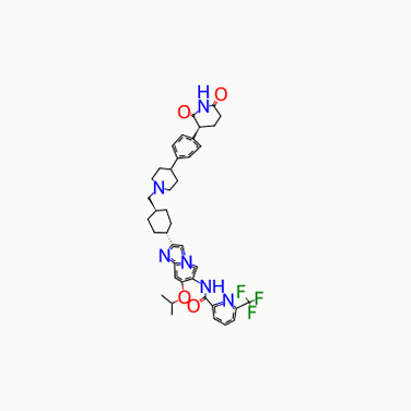 CC(C)Oc1cc2nc([C@H]3CC[C@H](CN4CCC(c5ccc([C@@H]6CCC(=O)NC6=O)cc5)CC4)CC3)cn2cc1NC(=O)c1cccc(C(F)(F)F)n1